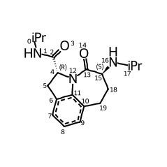 CC(C)NC(=O)[C@H]1Cc2cccc3c2N1C(=O)[C@@H](NC(C)C)CC3